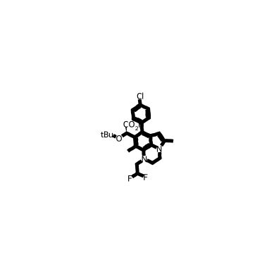 Cc1c([C@H](OC(C)(C)C)C(=O)O)c(-c2ccc(Cl)cc2)c2cc(C)n3c2c1N(CC(F)F)CC3